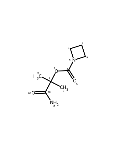 CC(C)(OC(=O)N1CCC1)C(N)=O